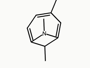 CC1=CC=C2C(C)C(=C1)N2C